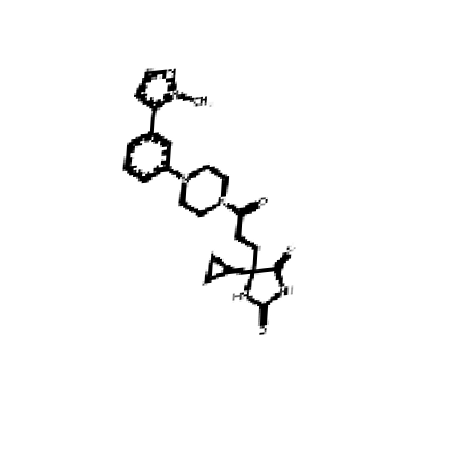 Cn1nccc1-c1cccc(N2CCN(C(=O)CCC3(C4CC4)NC(=O)NC3=O)CC2)c1